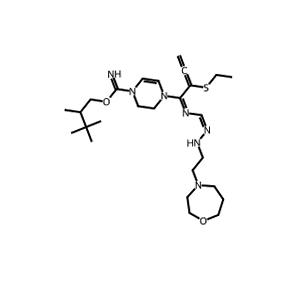 C=C=C(SCC)/C(=N\C=N/NCCN1CCCOCC1)N1C=CN(C(=N)OCC(C)C(C)(C)C)CC1